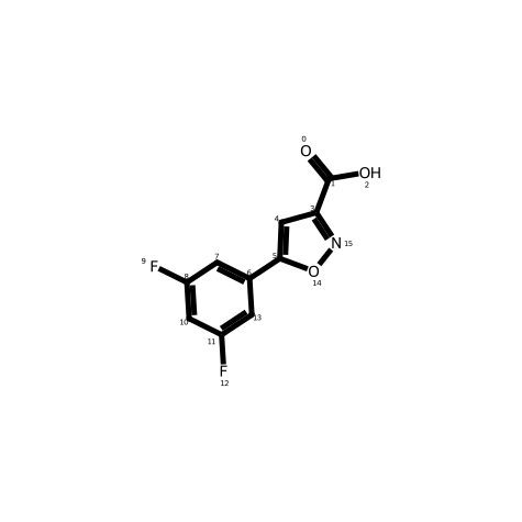 O=C(O)c1cc(-c2cc(F)cc(F)c2)on1